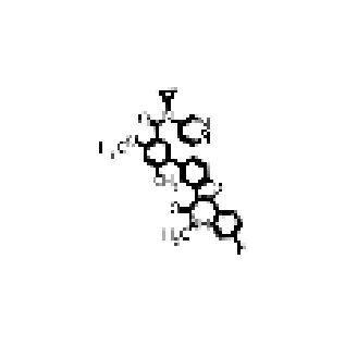 CNC(=O)c1c(-c2ccc(F)cc2)oc2ccc(-c3cc(C(=O)N(c4ccnnc4)C4CC4)c(OC)cc3C)cc12